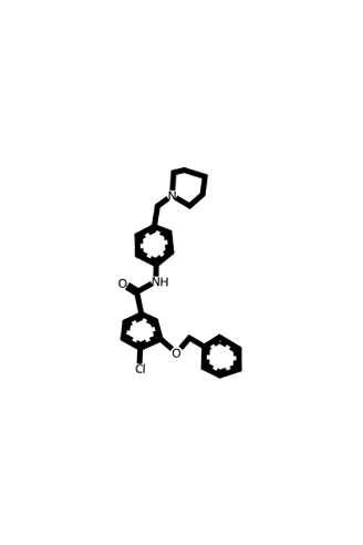 O=C(Nc1ccc(CN2CCCCC2)cc1)c1ccc(Cl)c(OCc2ccccc2)c1